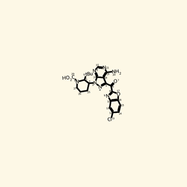 CC(C)(C)C1C(n2nc(C(=O)c3nc4cc(Cl)ccc4o3)c3c(N)ncnc32)CCCN1C(=O)O